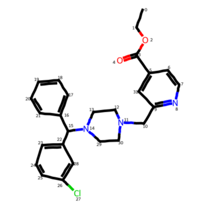 CCOC(=O)c1ccnc(CN2CCN(C(c3ccccc3)c3cccc(Cl)c3)CC2)c1